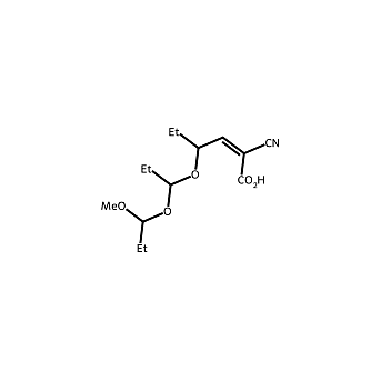 CCC(C=C(C#N)C(=O)O)OC(CC)OC(CC)OC